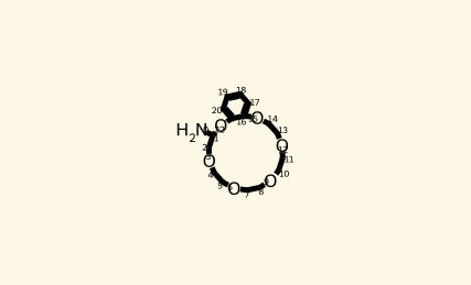 NC1COCCOCCOCCOCCOc2ccccc2O1